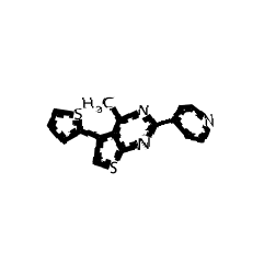 Cc1nc(-c2ccncc2)nc2scc(-c3cccs3)c12